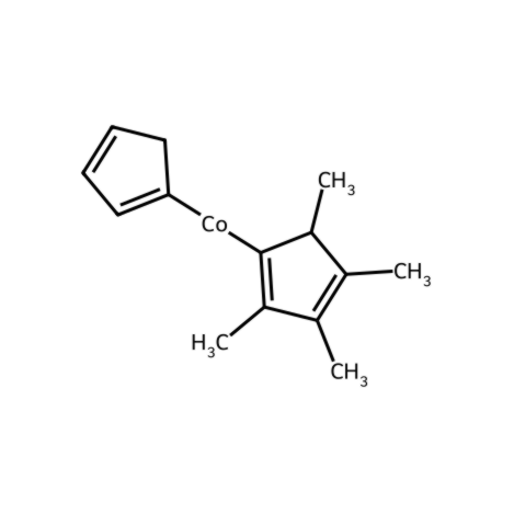 CC1=C(C)C(C)[C]([Co][C]2=CC=CC2)=C1C